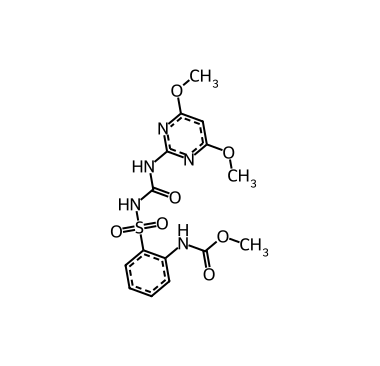 COC(=O)Nc1ccccc1S(=O)(=O)NC(=O)Nc1nc(OC)cc(OC)n1